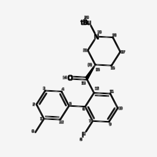 Cc1cccc(-c2c(F)cccc2C(=O)[C@@H]2CCCN(C(C)(C)C)C2)c1